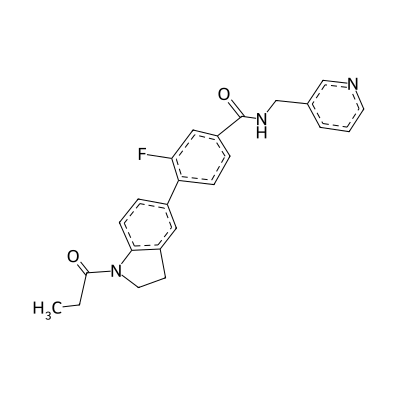 CCC(=O)N1CCc2cc(-c3ccc(C(=O)NCc4cccnc4)cc3F)ccc21